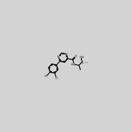 CC(NC(=O)c1cc(-c2ccc(Cl)c(Cl)c2)ncn1)[C@@H](C)O